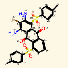 Cc1ccc(S(=O)(=O)c2cccc3c2C(=O)c2c(N)c(Br)c(N)c(S(=O)(=O)c4ccc(C)cc4)c2C3=O)cc1